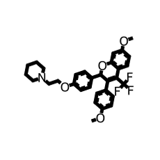 COc1ccc(C2=C(C(F)(F)F)c3ccc(OC)cc3OC2c2ccc(OCCN3CCCCC3)cc2)cc1